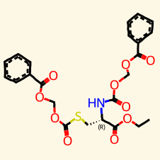 CCOC(=O)[C@H](CSC(=O)OCOC(=O)c1ccccc1)NC(=O)OCOC(=O)c1ccccc1